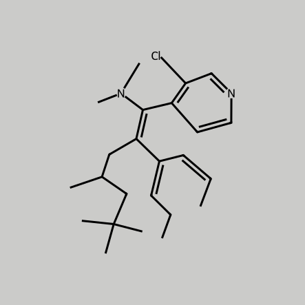 C\C=C/C(=C\CC)C(/CC(C)CC(C)(C)C)=C(\c1ccncc1Cl)N(C)C